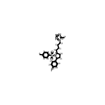 Cc1ccc(S(=O)(=O)N2C(CCCCn3nnnc3C)CCC2c2ccc(F)cc2)cc1